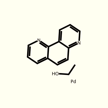 CCO.[Pd].c1cnc2c(c1)ccc1ncccc12